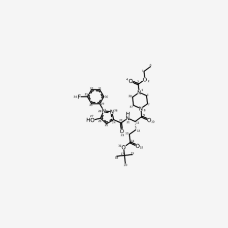 CCOC(=O)N1CCN(C(=O)[C@H](CCC(=O)OC(C)(C)C)NC(=O)c2cc(O)n(-c3cccc(F)c3)n2)CC1